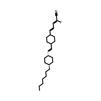 CCCCCCC[C@H]1CC[C@H](/C=C/C2CCC(C=CC=C(F)C#N)CC2)CC1